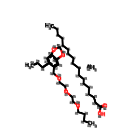 CCCCCCCCCCCCCCCCCC(=O)O.CCCCOCCOCCOCc1cc2c(cc1CCC)OCO2.[AlH3]